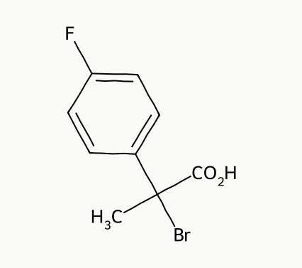 CC(Br)(C(=O)O)c1ccc(F)cc1